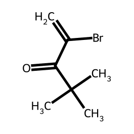 C=C(Br)C(=O)C(C)(C)C